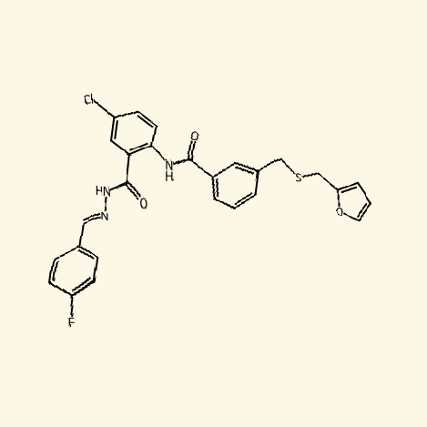 O=C(Nc1ccc(Cl)cc1C(=O)NN=Cc1ccc(F)cc1)c1cccc(CSCc2ccco2)c1